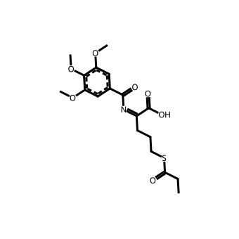 CCC(=O)SCCC/C(=N/C(=O)c1cc(OC)c(OC)c(OC)c1)C(=O)O